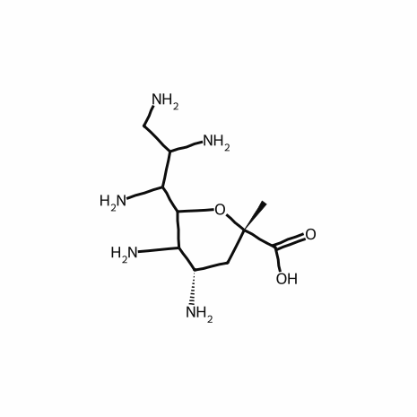 C[C@@]1(C(=O)O)C[C@H](N)C(N)C(C(N)C(N)CN)O1